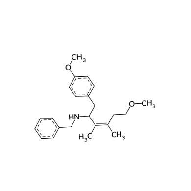 COCCC(C)=C(C)C(Cc1ccc(OC)cc1)NCc1ccccc1